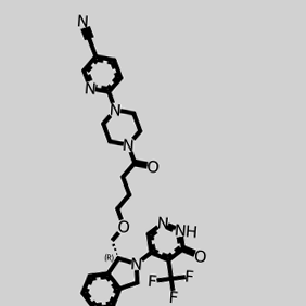 N#Cc1ccc(N2CCN(C(=O)CCCOC[C@H]3c4ccccc4CN3c3cn[nH]c(=O)c3C(F)(F)F)CC2)nc1